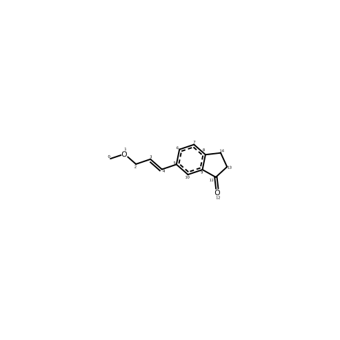 COCC=Cc1ccc2c(c1)C(=O)CC2